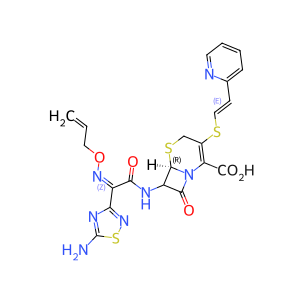 C=CCO/N=C(\C(=O)NC1C(=O)N2C(C(=O)O)=C(S/C=C/c3ccccn3)CS[C@H]12)c1nsc(N)n1